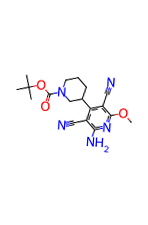 COc1nc(N)c(C#N)c(C2CCCN(C(=O)OC(C)(C)C)C2)c1C#N